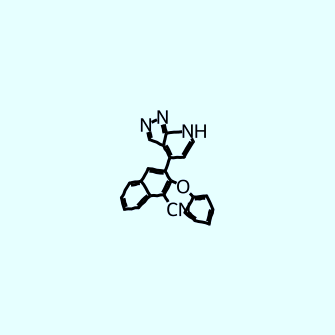 N#Cc1c(Oc2ccccc2)c(-c2cc[nH]c3nncc2-3)cc2ccccc12